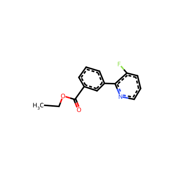 CCOC(=O)c1cccc(-c2ncccc2F)c1